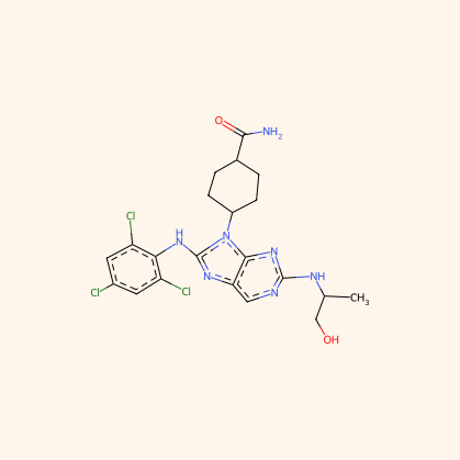 CC(CO)Nc1ncc2nc(Nc3c(Cl)cc(Cl)cc3Cl)n(C3CCC(C(N)=O)CC3)c2n1